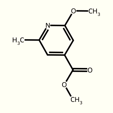 COC(=O)c1cc(C)nc(OC)c1